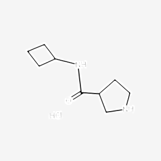 Cl.O=C(NC1CCC1)C1CCNC1